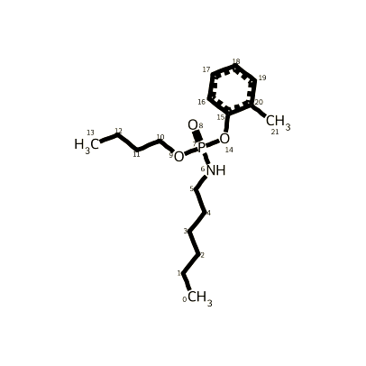 CCCCCCNP(=O)(OCCCC)Oc1ccccc1C